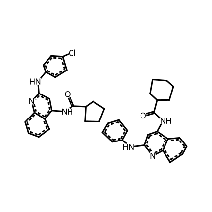 O=C(Nc1cc(Nc2ccc(Cl)cc2)nc2ccccc12)C1CCCC1.O=C(Nc1cc(Nc2ccccc2)nc2ccccc12)C1CCCCC1